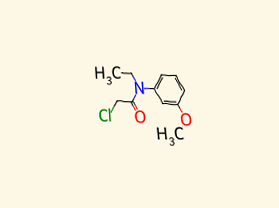 CCN(C(=O)CCl)c1cccc(OC)c1